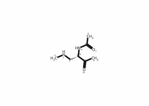 CNC[C@H](NC(C)=O)C(C)=O